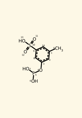 Cc1cc(OP(O)O)cc(S(=O)(=O)O)c1